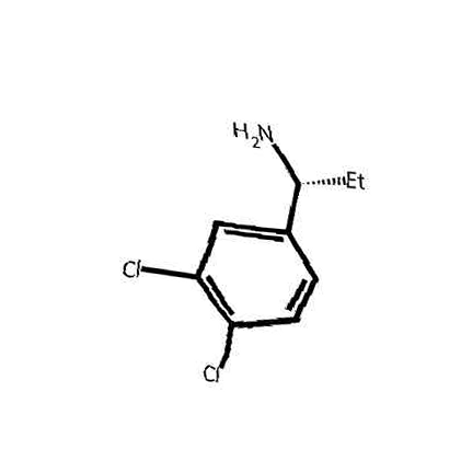 CC[C@@H](N)c1ccc(Cl)c(Cl)c1